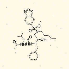 CCCCCN(C[C@@H](O)[C@H](Cc1ccccc1)NC(=O)C(NC(C)=O)C(C)C)S(=O)(=O)c1ccc2ncsc2c1